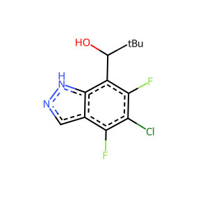 CC(C)(C)C(O)c1c(F)c(Cl)c(F)c2cn[nH]c12